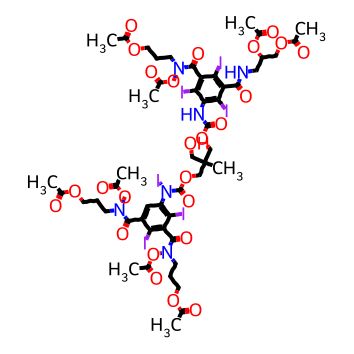 CC(=O)OCCCN(OC(C)=O)C(=O)c1cc(N(I)C(=O)OCC(C)(CO)COC(=O)Nc2c(I)c(C(=O)NCC(COC(C)=O)OC(C)=O)c(I)c(C(=O)N(CCCOC(C)=O)OC(C)=O)c2I)c(I)c(C(=O)N(CCCOC(C)=O)OC(C)=O)c1I